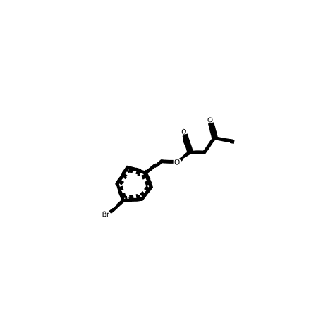 CC(=O)CC(=O)OCc1ccc(Br)cc1